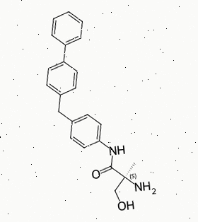 C[C@](N)(CO)C(=O)Nc1ccc(Cc2ccc(-c3ccccc3)cc2)cc1